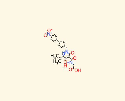 CC(C)c1nn(Cc2ccc(-c3ccc([N+](=O)[O-])cc3)cc2)c(=O)c(C(=O)NCC(=O)O)c1O